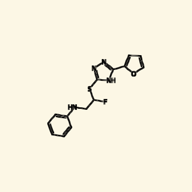 FC(CNc1ccccc1)Sc1nnc(-c2ccco2)[nH]1